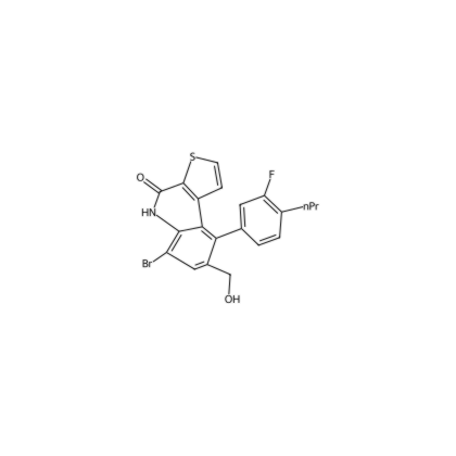 CCCc1ccc(-c2c(CO)cc(Br)c3[nH]c(=O)c4sccc4c23)cc1F